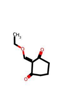 CCOC=C1C(=O)CCCC1=O